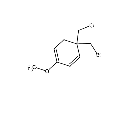 FC(F)(F)OC1=CCC(CCl)(CBr)C=C1